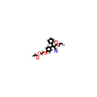 C=CC(=O)OCCOc1ccc(/C(=C(\C#N)C(=O)OCC)c2ccccc2)cc1